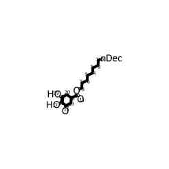 CCCCCCCCCCCCCCCCCCOC(=O)C1CC(=O)C(O)=C(O)C1